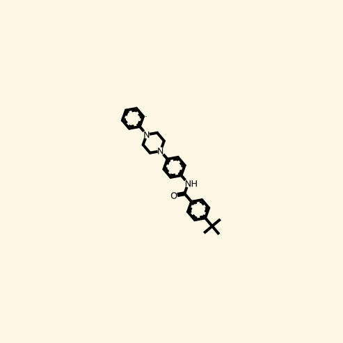 CC(C)(C)c1ccc(C(=O)Nc2ccc(N3CCN(c4[c]cccc4)CC3)cc2)cc1